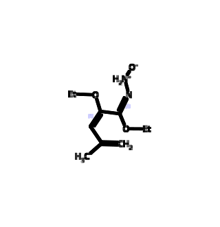 C=C(C)/C=C(OCC)\C(=N/[NH2+][O-])OCC